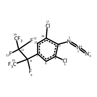 [N-]=[N+]=Nc1c(Cl)cc(C(F)(C(F)(F)F)C(F)(F)C(F)(F)F)cc1Cl